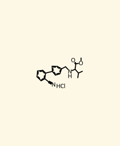 COC(=O)C(NCc1ccc(-c2ccccc2C#N)cc1)C(C)C.Cl